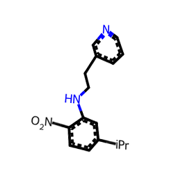 CC(C)c1ccc([N+](=O)[O-])c(NCCc2cccnc2)c1